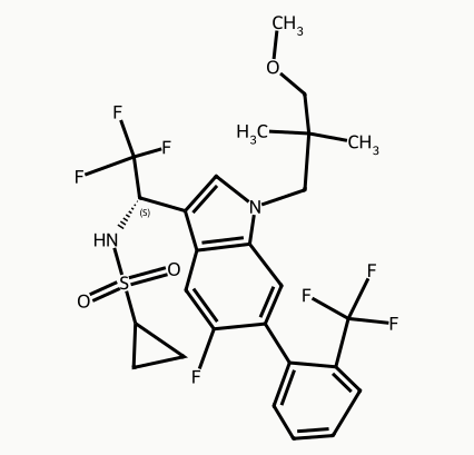 COCC(C)(C)Cn1cc([C@H](NS(=O)(=O)C2CC2)C(F)(F)F)c2cc(F)c(-c3ccccc3C(F)(F)F)cc21